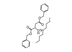 CCC[CH2][Sn][CH2]CCC.O=C(CC(O)C(=O)OCc1ccccc1)OCc1ccccc1